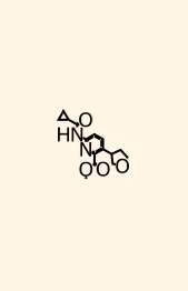 COC(=O)c1nc(NC(=O)C2CC2)ccc1C1CCOC1